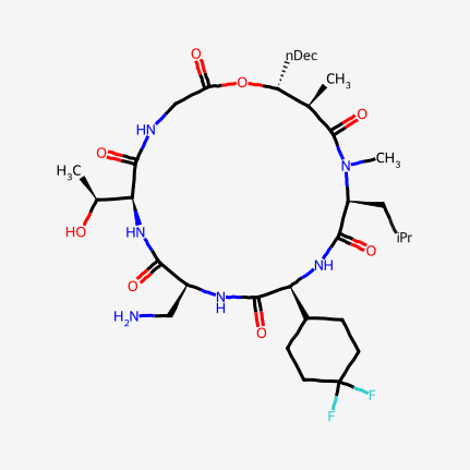 CCCCCCCCCC[C@H]1OC(=O)CNC(=O)[C@H]([C@H](C)O)NC(=O)[C@H](CN)NC(=O)[C@H](C2CCC(F)(F)CC2)NC(=O)[C@H](CC(C)C)N(C)C(=O)[C@@H]1C